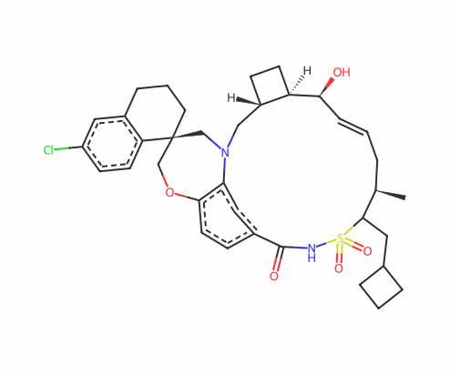 C[C@@H]1C/C=C/[C@H](O)[C@@H]2CC[C@H]2CN2C[C@@]3(CCCc4cc(Cl)ccc43)COc3ccc(cc32)C(=O)NS(=O)(=O)C1CC1CCC1